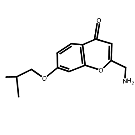 CC(C)COc1ccc2c(=O)cc(CN)oc2c1